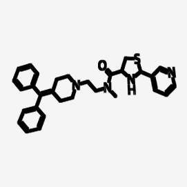 CN(CCN1CCC(=C(c2ccccc2)c2ccccc2)CC1)C(=O)C1CSC(c2cccnc2)N1